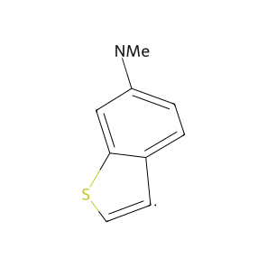 CNc1ccc2[c]csc2c1